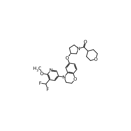 COc1ncc(N2CCOc3ccc(O[C@H]4CCN(C(=O)C5CCOCC5)C4)cc32)cc1C(F)F